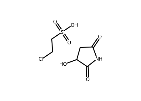 O=C1CC(O)C(=O)N1.O=S(=O)(O)CCCl